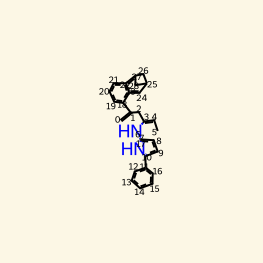 C=C(C/C(=C/C)Nc1ccc(-c2ccccc2)[nH]1)c1cccc2c1=CC1CC=2C1